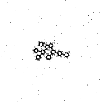 c1ccc(-c2ccc(-c3cc(-c4cccc5c4nc(-c4ccc6c7ccccc7c7ccccc7c6c4)c4c6ccccc6oc54)nc(-c4ccccc4)n3)cc2)cc1